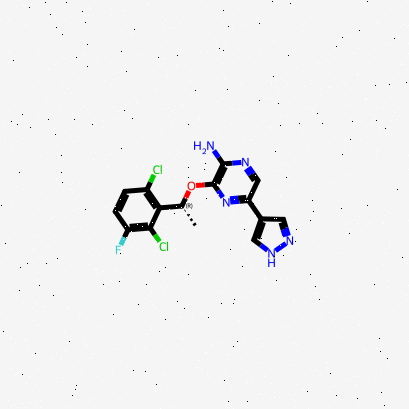 C[C@@H](Oc1nc(-c2cn[nH]c2)cnc1N)c1c(Cl)ccc(F)c1Cl